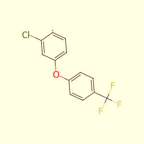 FC(F)(F)c1ccc(Oc2cc[c]c(Cl)c2)cc1